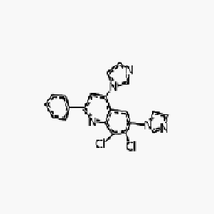 Clc1c(-n2ccnc2)cc2c(-n3ccnc3)cc(-c3ccccc3)nc2c1Cl